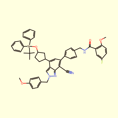 COc1ccc(Cn2cc3c(C4CCC(O[Si](c5ccccc5)(c5ccccc5)C(C)(C)C)C4)cc(-c4ccc(CNC(=O)c5cc(F)ccc5OC)cc4)c(C#N)c3n2)cc1